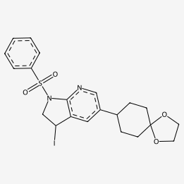 O=S(=O)(c1ccccc1)N1CC(I)c2cc(C3CCC4(CC3)OCCO4)cnc21